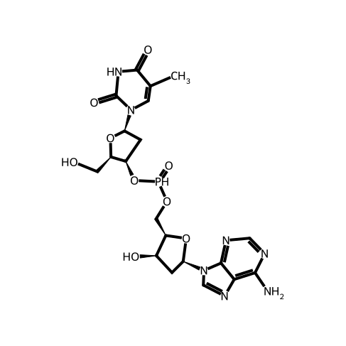 Cc1cn([C@H]2C[C@@H](O[PH](=O)OC[C@H]3O[C@@H](n4cnc5c(N)ncnc54)C[C@H]3O)[C@@H](CO)O2)c(=O)[nH]c1=O